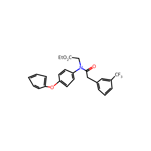 CCOC(=O)CN(C(=O)Cc1cccc(C(F)(F)F)c1)c1ccc(Oc2ccccc2)cc1